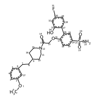 COc1cccc(CCC2CCN(C(=O)COc3ccc(S(N)(=O)=O)cc3-c3ccc(F)cc3O)CC2)c1